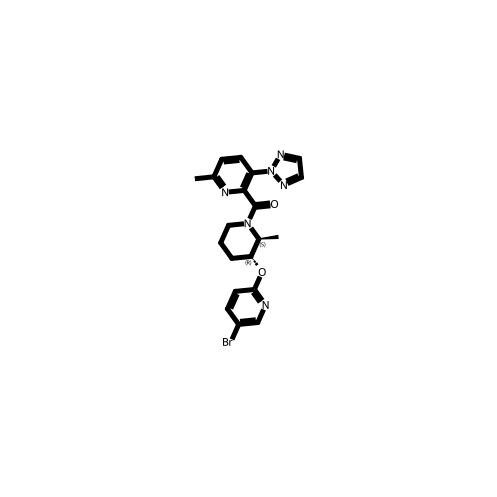 Cc1ccc(-n2nccn2)c(C(=O)N2CCC[C@@H](Oc3ccc(Br)cn3)[C@@H]2C)n1